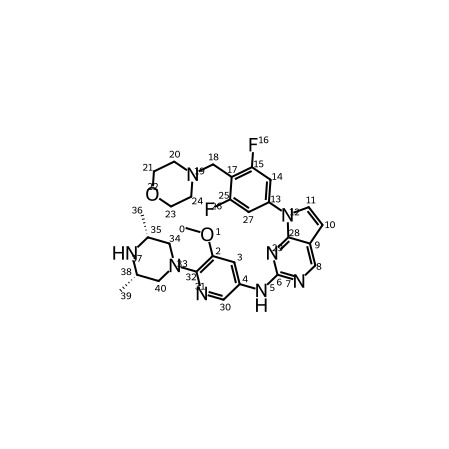 COc1cc(Nc2ncc3ccn(-c4cc(F)c(CN5CCOCC5)c(F)c4)c3n2)cnc1N1C[C@@H](C)N[C@@H](C)C1